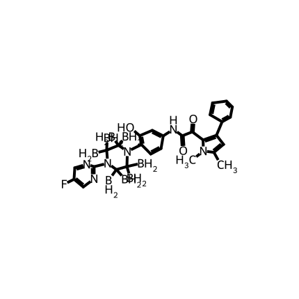 BC1(B)N(c2ncc(F)cn2)C(B)(B)C(B)(B)N(c2ccc(NC(=O)C(=O)c3c(-c4ccccc4)cc(C)n3C)cc2O)C1(B)B